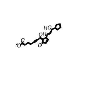 COC(=O)CCCC#CC(O)C1C(=O)C=CC1C=CC(O)C1CCCC1